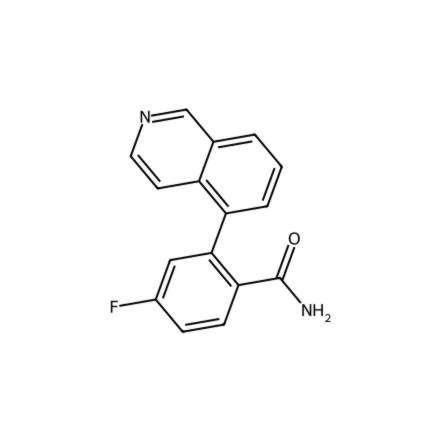 NC(=O)c1ccc(F)cc1-c1cccc2cnccc12